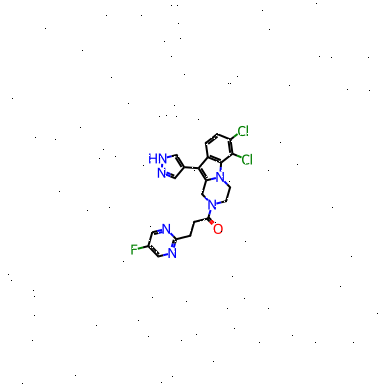 O=C(CCc1ncc(F)cn1)N1CCn2c(c(-c3cn[nH]c3)c3ccc(Cl)c(Cl)c32)C1